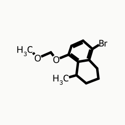 COCOc1ccc(Br)c2c1C(C)CCC2